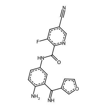 N#Cc1cnc(C(=O)Nc2ccc(N)c(C(=N)c3ccoc3)c2)c(F)c1